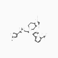 Cn1cc(-c2nnc(C(=O)N3CCc4[nH]cnc4[C@@H]3c3cc4cccc(C(F)(F)F)n4n3)o2)cn1